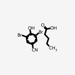 CCCCC(=O)O.N#Cc1cc(Br)c(O)c(Br)c1